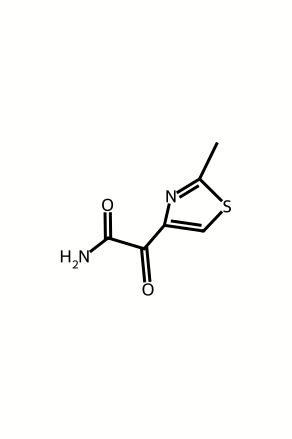 Cc1nc(C(=O)C(N)=O)cs1